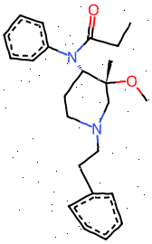 CCC(=O)N(c1ccccc1)[C@H]1CCN(CCc2ccccc2)C[C@@]1(C)OC